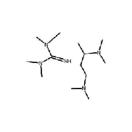 CC(CCN(C)C)N(C)C.CN(C)C(=N)N(C)C